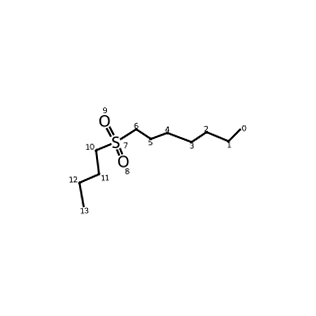 CCCCCCCS(=O)(=O)CCCC